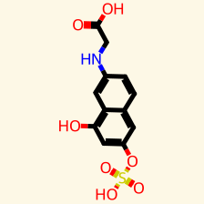 O=C(O)CNc1ccc2cc(OS(=O)(=O)O)cc(O)c2c1